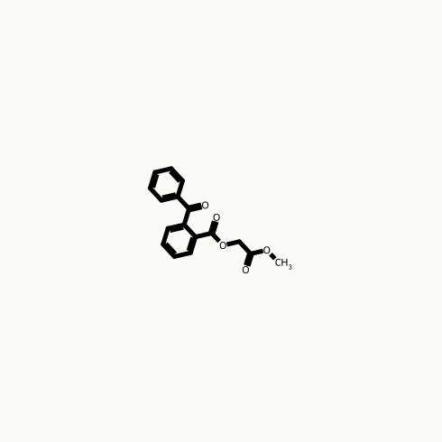 COC(=O)COC(=O)c1ccccc1C(=O)c1ccccc1